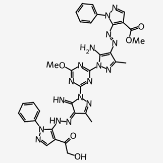 COC(=O)c1cnn(-c2ccccc2)c1/N=N/c1c(C)nn(-c2nc(OC)nc(N3N=C(C)/C(=N/Nc4c(C(=O)CO)cnn4-c4ccccc4)C3=N)n2)c1N